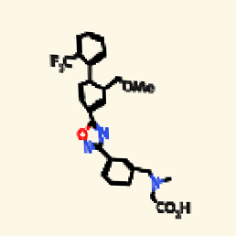 COCC1C=C(c2nc(-c3cccc(CN(C)CC(=O)O)c3)no2)C=CC1c1ccccc1C(F)(F)F